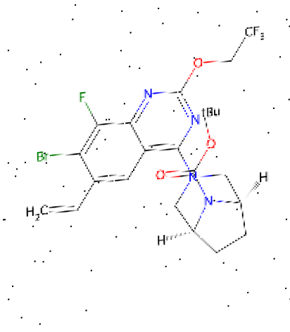 C=Cc1cc2c(N3C[C@H]4CC[C@@H](C3)N4C(=O)OC(C)(C)C)nc(OCC(F)(F)F)nc2c(F)c1Br